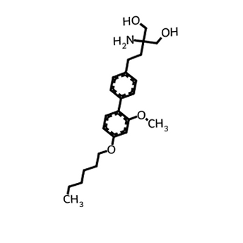 CCCCCCOc1ccc(-c2ccc(CCC(N)(CO)CO)cc2)c(OC)c1